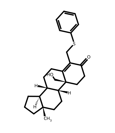 C[C@@]12CCC[C@H]1[C@@H]1CCC3=C(CSc4ccccc4)C(=O)CC[C@]3(CO)[C@@H]1CC2